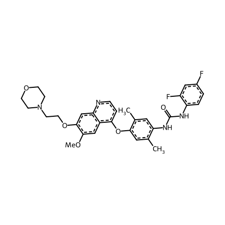 COc1cc2c(Oc3cc(C)c(NC(=O)Nc4ccc(F)cc4F)cc3C)ccnc2cc1OCCN1CCOCC1